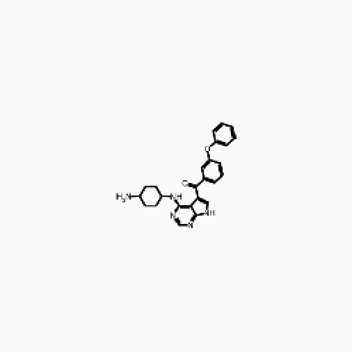 N[C@H]1CC[C@@H](Nc2ncnc3[nH]cc(C(=O)c4cccc(Oc5ccccc5)c4)c23)CC1